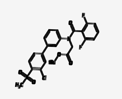 CC(C)(C)OC(=O)CN(C(=O)c1c(F)cccc1F)c1cccc(-c2ccc(S(C)(=O)=O)c(Cl)c2)c1